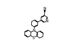 N#Cc1cncc(C2=CCCC(N3C4=C(CCC=C4)SC4C=CC=CC43)=C2)c1